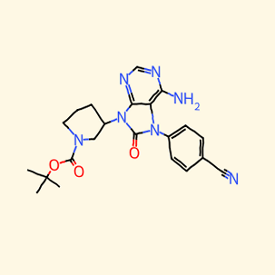 CC(C)(C)OC(=O)N1CCCC(n2c(=O)n(-c3ccc(C#N)cc3)c3c(N)ncnc32)C1